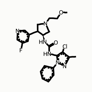 COCCN1CC(c2cncc(F)c2)[C@H](NC(=O)Nc2c(Cl)c(C)nn2-c2ccccc2)C1